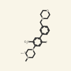 C[C@@H]1CN(c2cc(F)c(-c3cccc(CN4CCOCC4)c3)cc2[N+](=O)[O-])CCN1C